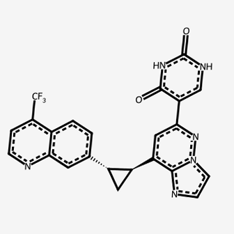 O=c1[nH]cc(-c2cc([C@H]3C[C@@H]3c3ccc4c(C(F)(F)F)ccnc4c3)c3nccn3n2)c(=O)[nH]1